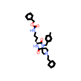 Cc1ccc(CN2C(=O)[C@H](CCCCNC(=O)OCc3ccccc3)NC(=O)C23CCN(CCc2ccccc2)CC3)cc1